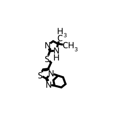 CC1(C)CN=C(SCC2=CSC3=NC4CCCC(C4)N23)N1